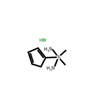 Br.[CH3][Ti]([CH3])([SiH3])([SiH3])[C]1=CC=CC1